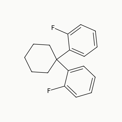 Fc1ccccc1C1(c2ccccc2F)CCCCC1